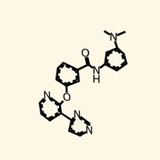 CN(C)c1cccc(NC(=O)c2cccc(Oc3ncccc3-c3ccncn3)c2)c1